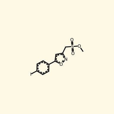 COS(=O)(=O)Cc1cc(-c2ccc(I)cc2)on1